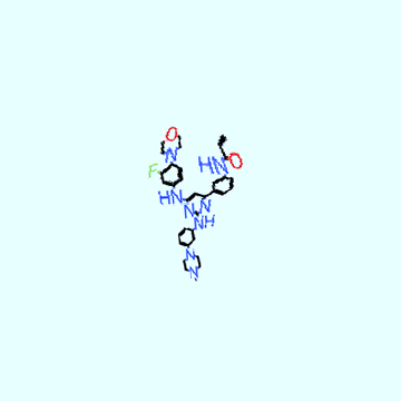 C=CC(=O)Nc1cccc(-c2cc(Nc3ccc(N4CCOCC4)c(F)c3)nc(Nc3cccc(N4CCN(C)CC4)c3)n2)c1